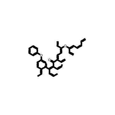 C=C/C=C\C=C(/C=C)O/C(C=C)=C/C=C(\C=C)C(=O)C(/C=C\C)=C(/C=C\C)C(=O)C(/C=C\C(=C/C)Oc1ccccc1)=C/C